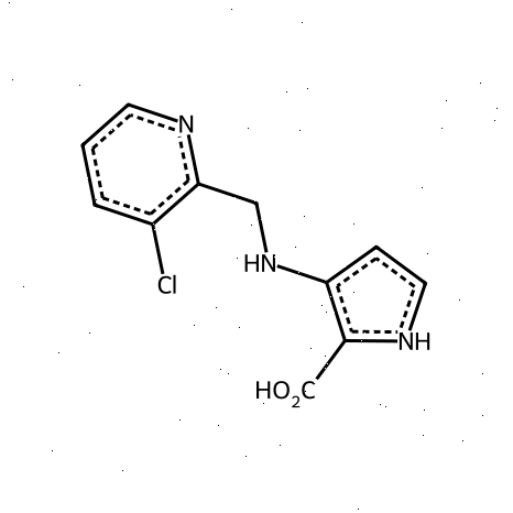 O=C(O)c1[nH]ccc1NCc1ncccc1Cl